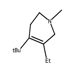 CCC1=C(C(C)(C)C)CCN(C)C1